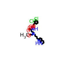 COCCN(CCCCc1ccc2c(n1)NCCC2)CCC(NC(=O)OCc1cccc(Cl)c1Cl)C(=O)O